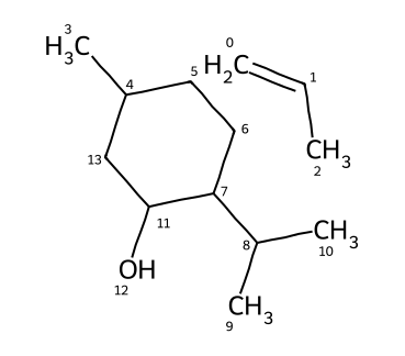 C=CC.CC1CCC(C(C)C)C(O)C1